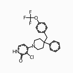 O=c1[nH]ccc(N2CCC(Cc3ccc(OC(F)(F)F)cc3)(c3ccccc3)CC2)c1Cl